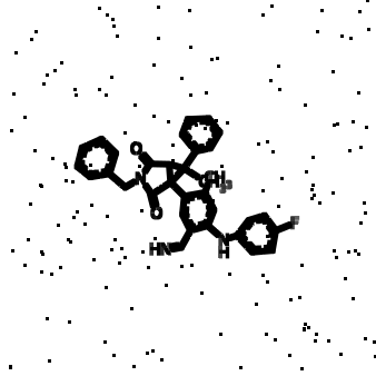 Cc1cc(Nc2ccc(F)cc2)c(C=N)cc1C12C(=O)N(Cc3ccccc3)C(=O)C1C2(C)c1ccccc1